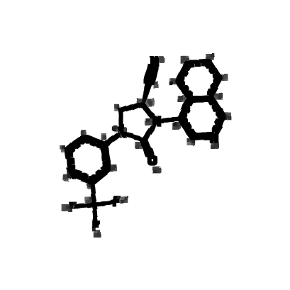 N#C[C@@H]1CN(c2ccnc(C(F)(F)F)c2)C(=O)N1c1cncc2ccccc12